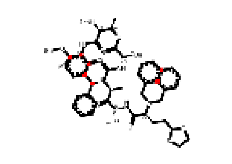 CC[C@H](C)[C@H](NC(=O)[C@H](Cc1ccc(OC(C)(C)C)cc1)N(C)C(=O)[C@@H](NC(=O)[C@H](CCC1OCCO1)N(Cc1ccccc1)Cc1ccccc1)[C@@H](C)CC)C(=O)O[C@H](C)[C@H](NC(C)=O)C(=O)N[C@@H](CC(C)C)C(=O)OCc1ccccc1